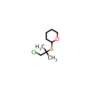 CC(C)(CCl)SC1CCCCO1